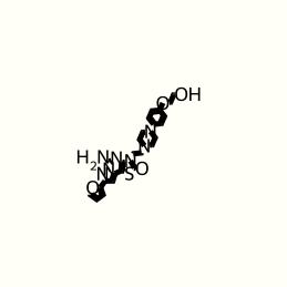 Nc1nc2c(sc(=O)n2CCN2CCN(c3ccc(OCCO)cc3)CC2)c2cc(-c3ccco3)nn12